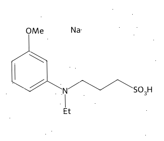 CCN(CCCS(=O)(=O)O)c1cccc(OC)c1.[Na]